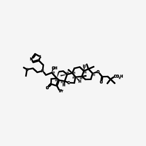 CC(C)C1=C2[C@H]3CC[C@@H]4[C@@]5(C)CC[C@H](OC(=O)CC(C)(C)C(=O)O)C(C)(C)[C@@H]5CC[C@@]4(C)[C@]3(C)CC[C@@]2([C@@H](O)CN(CCN(C)C)Cc2cncs2)CC1=O